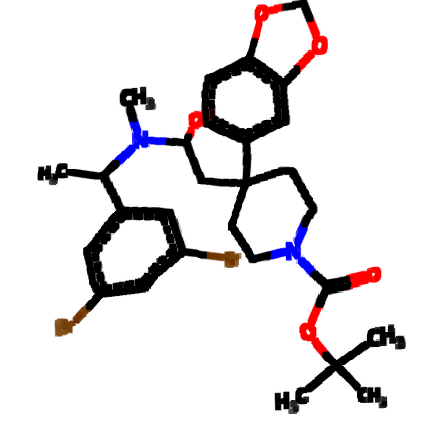 CC(c1cc(Br)cc(Br)c1)N(C)C(O)CC1(c2ccc3c(c2)OCO3)CCN(C(=O)OC(C)(C)C)CC1